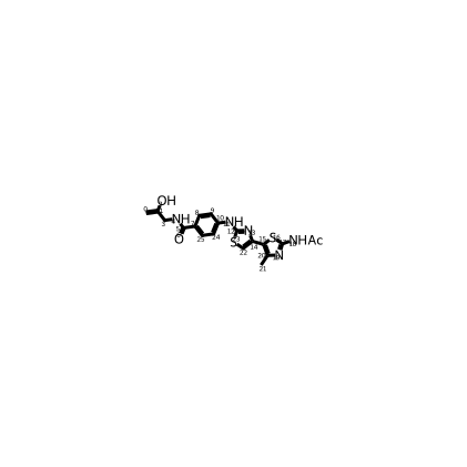 C=C(O)CNC(=O)c1ccc(Nc2nc(-c3sc(NC(C)=O)nc3C)cs2)cc1